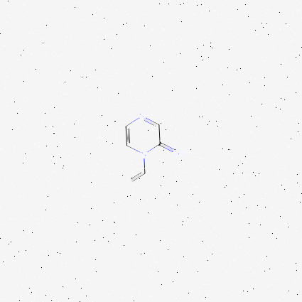 C=Cn1ccncc1=N